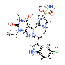 CC(C)Cn1c(=O)n(C)c(=O)c2c(-c3nc(S(N)(=O)=O)cn3C)n(Cc3c[nH]c4ccc(Cl)cc34)nc21